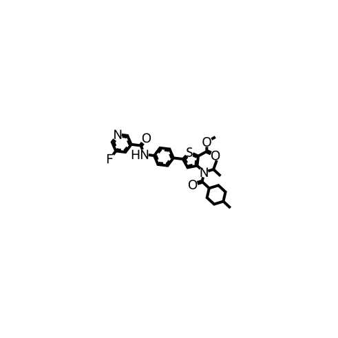 COC(=O)c1sc(-c2ccc(NC(=O)c3cncc(F)c3)cc2)cc1N(C(=O)C1CCC(C)CC1)C(C)C